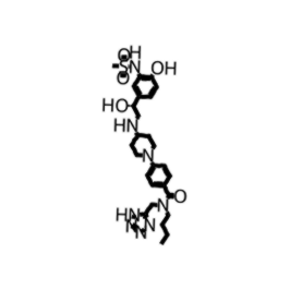 CCCCN(Cc1nnn[nH]1)C(=O)c1ccc(N2CCC(NC[C@H](O)c3ccc(O)c(NS(C)(=O)=O)c3)CC2)cc1